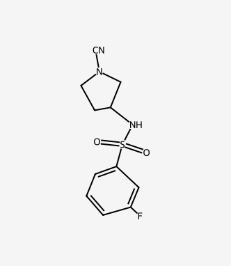 N#CN1CCC(NS(=O)(=O)c2cccc(F)c2)C1